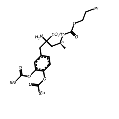 CC(C)CCOC(=O)O[C@@H](C)CC(N)(Cc1ccc(OC(=O)C(C)(C)C)c(OC(=O)C(C)(C)C)c1)C(=O)O